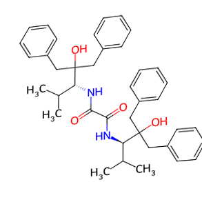 CC(C)[C@@H](NC(=O)C(=O)N[C@H](C(C)C)C(O)(Cc1ccccc1)Cc1ccccc1)C(O)(Cc1ccccc1)Cc1ccccc1